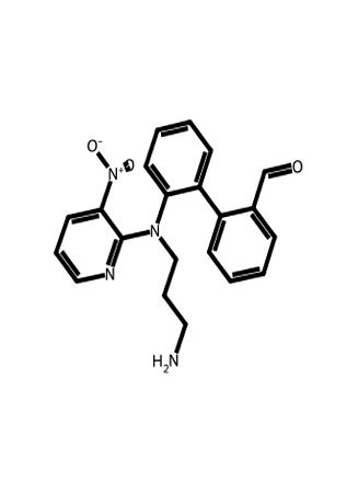 NCCCN(c1ccccc1-c1ccccc1C=O)c1ncccc1[N+](=O)[O-]